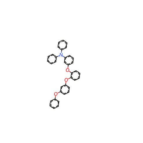 c1ccc(Oc2cccc(Oc3ccccc3Oc3cccc(N(c4ccccc4)c4ccccc4)c3)c2)cc1